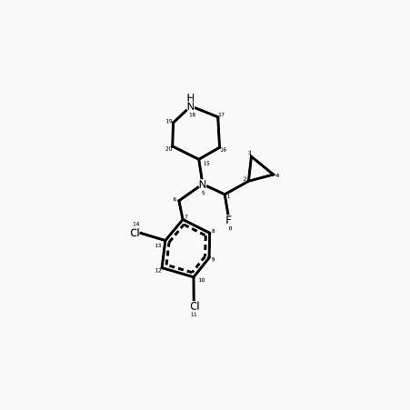 FC(C1CC1)N(Cc1ccc(Cl)cc1Cl)C1CCNCC1